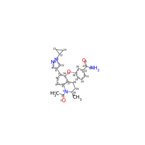 CC(=O)N1c2ccc(-c3cnn(C4CC4)c3)c(Oc3cccc(C(N)=O)c3)c2CCC1C